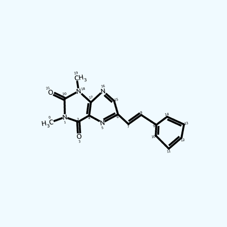 Cn1c(=O)c2nc(/C=C/c3ccccc3)cnc2n(C)c1=O